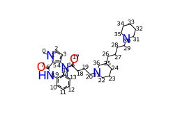 Cn1ccc2c1C(=O)Nc1ccccc1N2C(=O)CCCN1CCCC(CCCCN2CCCCC2)C1